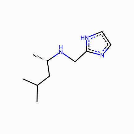 CC(C)C[C@H](C)NCc1ncc[nH]1